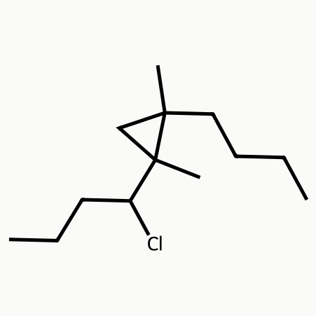 CCCCC1(C)CC1(C)C(Cl)CCC